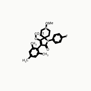 CCOC(=O)OC1=C(c2c(C)cc(C)cc2C)C(=O)N(c2ccc(F)cc2)C12CCN(OC)CC2